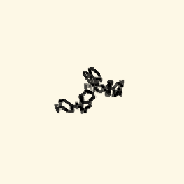 Cc1cc2c(cnn2-c2ccc(F)cc2)cc1[C@@]12CN(S(=O)(=O)c3cnn(C)n3)C[C@@]13c1ccccc1OC[C@H]32